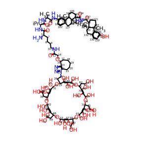 CC(C)[C@H](NC(=O)[C@H](N)CCCCNC(=O)COC1CCCCCc2c1nnn2CCC1OC(O)/C(O)=C(/O)C(CCO)OC(O)/C(O)=C(/O)C(CCO)OC(O)/C(O)=C(/O)C(CCO)OC(O)/C(O)=C(/O)C(CCO)OC(O)/C(O)=C(\O)C(CCO)OC(O)/C(O)=C/1O)C(=O)N[C@@H](C)C(=O)Nc1ccc2c(c1)[C@@]1(C)CCC[C@](C)(C(=O)NC(=O)[C@@]3(C)CCC[C@]4(C)c5cc(O)ccc5CC[C@@H]34)[C@@H]1CC2